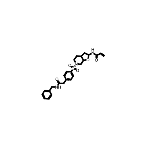 C=CC(=O)NC1CC2CCN(S(=O)(=O)c3ccc(CC(=O)NCc4ccccc4)cc3)CC2O1